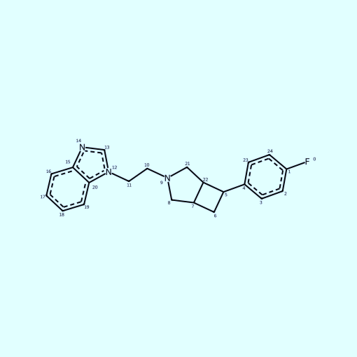 Fc1ccc(C2CC3CN(CCn4cnc5ccccc54)CC32)cc1